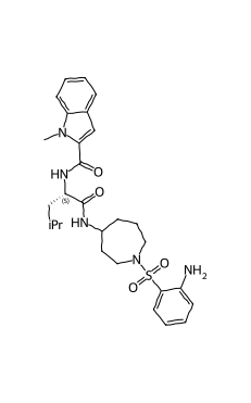 CC(C)C[C@H](NC(=O)c1cc2ccccc2n1C)C(=O)NC1CCCN(S(=O)(=O)c2ccccc2N)CC1